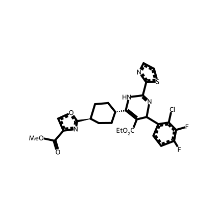 CCOC(=O)C1=C([C@H]2CC[C@H](c3nc(C(=O)OC)co3)CC2)NC(c2nccs2)=NC1c1ccc(F)c(F)c1Cl